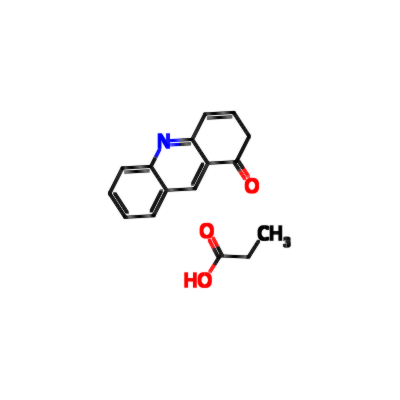 CCC(=O)O.O=C1CC=Cc2nc3ccccc3cc21